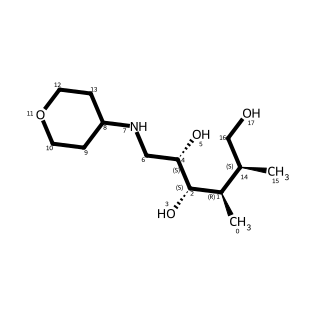 C[C@@H]([C@H](O)[C@@H](O)CNC1CCOCC1)[C@H](C)CO